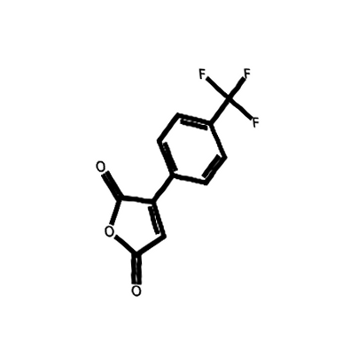 O=C1C=C(c2ccc(C(F)(F)F)cc2)C(=O)O1